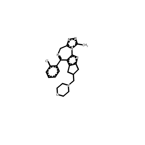 Cc1nnc2n1-c1sc3c(c1C(c1ccccc1Cl)=NC2)CC(CN1CCOCC1)C3